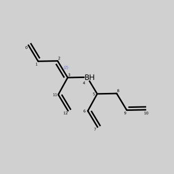 C=C/C=C(/BC(C=C)CC=C)C=C